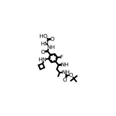 CC(CC(=N)c1cc(NC2CCC2)c(C(=O)NNC(=O)O)cc1F)NC(=O)OC(C)(C)C